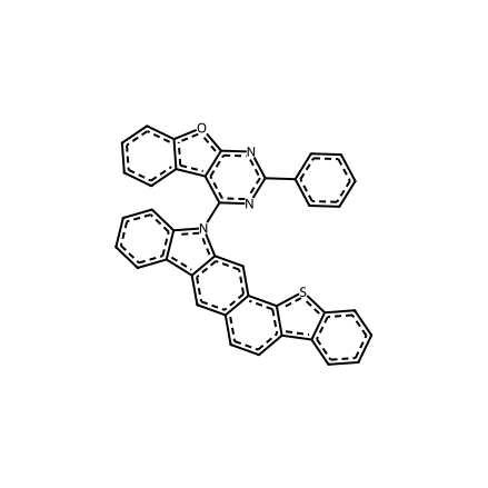 c1ccc(-c2nc(-n3c4ccccc4c4cc5ccc6c7ccccc7sc6c5cc43)c3c(n2)oc2ccccc23)cc1